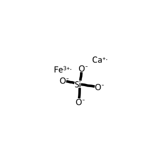 [Ca+].[Fe+3].[O-][Si]([O-])([O-])[O-]